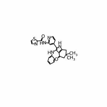 CC1(C)CC(=O)c2c([nH]c(-c3ccnc(NC(=O)c4nccs4)c3)c2Nc2ccccc2)C1